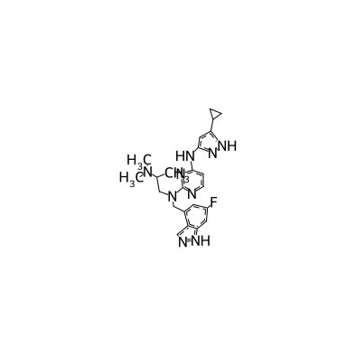 CC(CN(Cc1cc(F)cc2[nH]ncc12)c1nccc(Nc2cc(C3CC3)[nH]n2)n1)N(C)C